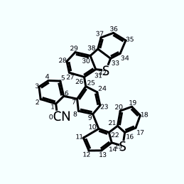 N#Cc1ccccc1-c1cc(-c2cccc3sc4ccccc4c23)ccc1-c1cccc2c1sc1ccccc12